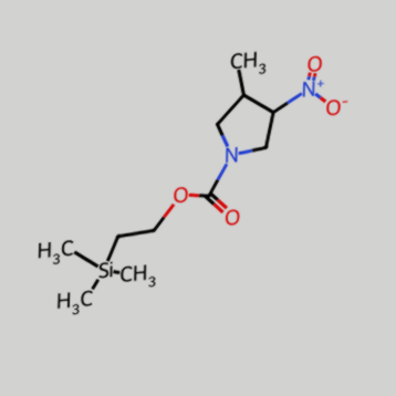 CC1CN(C(=O)OCC[Si](C)(C)C)CC1[N+](=O)[O-]